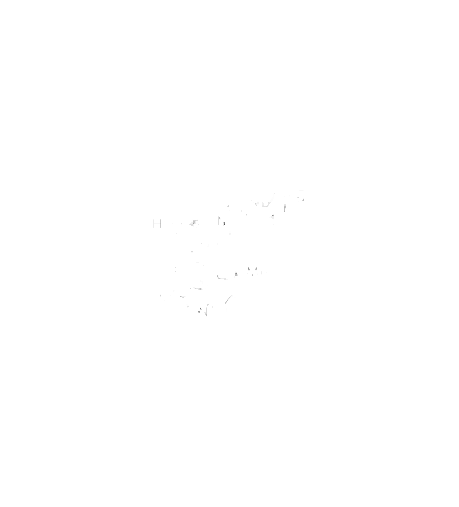 COc1ccc2ncc(Cl)c(C(F)CCC3CCN(CCSc4cc(F)cs4)CC3C(=O)O)c2c1